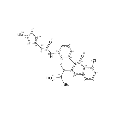 CC(c1nc2cccc(Cl)c2c(=O)n1-c1cccc(NC(=O)Nc2cc(C(C)(C)C)on2)c1)N(C(=O)O)C(C)(C)C